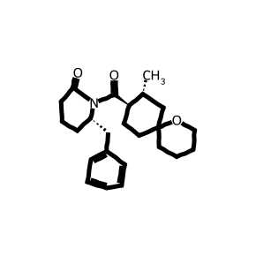 C[C@@H]1CC2(CCCCO2)CC[C@H]1C(=O)N1C(=O)CCC[C@H]1Cc1ccccc1